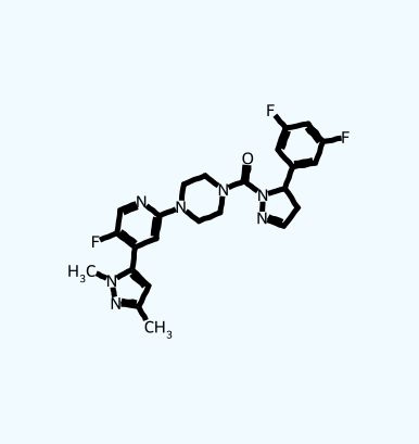 Cc1cc(-c2cc(N3CCN(C(=O)N4N=CCC4c4cc(F)cc(F)c4)CC3)ncc2F)n(C)n1